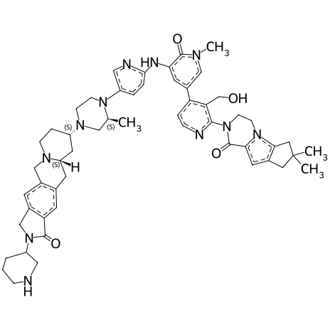 C[C@H]1CN([C@H]2CCN3Cc4cc5c(cc4C[C@H]3C2)C(=O)N(C2CCCNC2)C5)CCN1c1ccc(Nc2cc(-c3ccnc(N4CCn5c(cc6c5CC(C)(C)C6)C4=O)c3CO)cn(C)c2=O)nc1